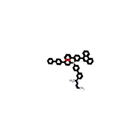 C/C=C\C=C(/C)c1cccc(-c2ccc(N(c3ccc(-c4ccc(-c5ccccc5)cc4)cc3)c3cc(-c4cc5ccccc5c5ccccc45)ccc3-c3ccccc3)cc2)c1